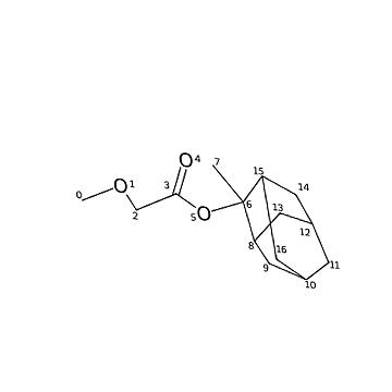 COCC(=O)OC1(C)C2CC3CC(C2)CC1C3